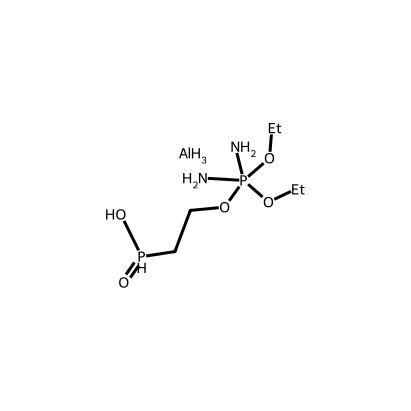 CCOP(N)(N)(OCC)OCC[PH](=O)O.[AlH3]